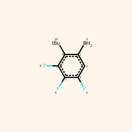 Bc1cc(F)c(F)c(F)c1C(C)(C)C